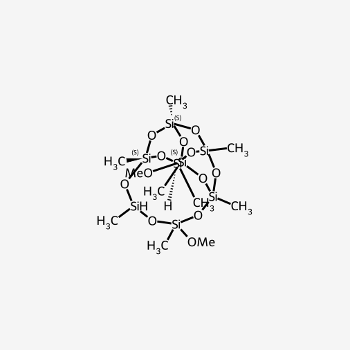 CO[Si]1(C)O[SiH](C)O[Si@@]2(C)O[Si@H](C)O[Si]3(C)O[Si](C)(O1)O[Si](C)(OC)O[Si@](C)(O3)O2